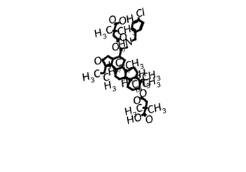 CC(C)C1=C2C(CC1=O)C([C@H](CNCc1ccc(Cl)cc1)OC(=O)CC(C)(C)C(=O)O)C[C@]1(C)[C@@H]2CC[C@@H]2[C@@]3(C)CC[C@H](OC(=O)CC(C)(C)C(=O)O)C(C)(C)[C@@H]3CC[C@]21C